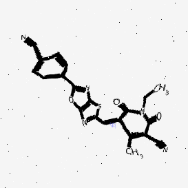 CCN1C(=O)C(C#N)=C(C)/C(=C/c2nc3oc(-c4ccc(C#N)cc4)nc3s2)C1=O